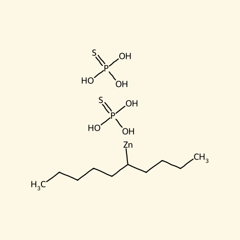 CCCCC[CH]([Zn])CCCC.OP(O)(O)=S.OP(O)(O)=S